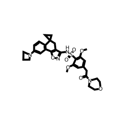 COc1cc(CC(=O)N2CCOCC2)cc(OC)c1S(=O)(=O)Nc1noc2c1CC1(CC1)c1ccc(N3CCC3)cc1-2